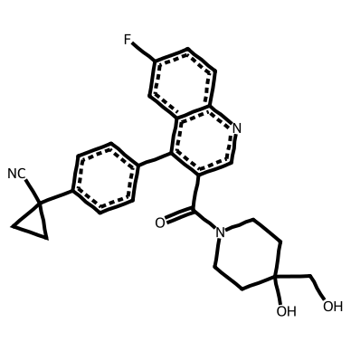 N#CC1(c2ccc(-c3c(C(=O)N4CCC(O)(CO)CC4)cnc4ccc(F)cc34)cc2)CC1